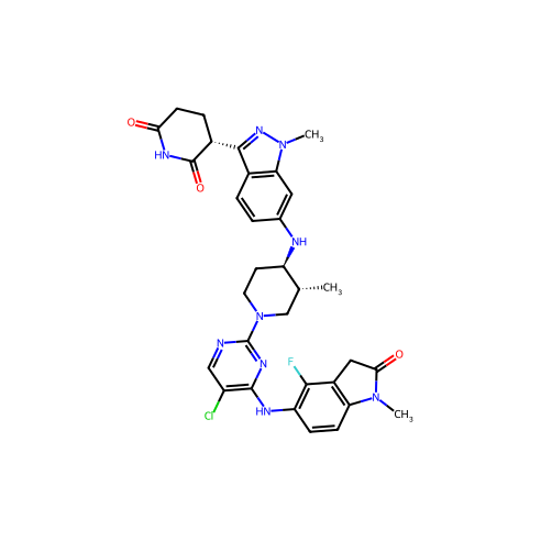 C[C@@H]1CN(c2ncc(Cl)c(Nc3ccc4c(c3F)CC(=O)N4C)n2)CC[C@H]1Nc1ccc2c([C@H]3CCC(=O)NC3=O)nn(C)c2c1